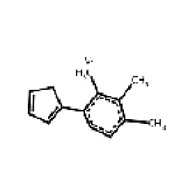 Cc1ccc(C2=CC=CC2)c(C)c1C.[V]